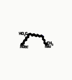 CCCCCCCCCCCCCCCCC(CCCCCC/C=C\CCCC(C)CCCC)C(=O)O